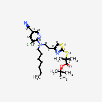 CCCCCCCN(CCc1csc(SC(C)(C)C(=O)OC(C)(C)C)n1)c1ncc(C#N)cc1Cl